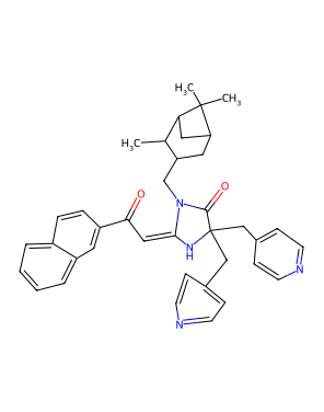 CC1C(CN2C(=O)C(Cc3ccncc3)(Cc3ccncc3)NC2=CC(=O)c2ccc3ccccc3c2)CC2CC1C2(C)C